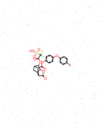 O=C1OC2C3CC(C2OC(=O)C(F)(F)S(=O)(=O)O)C(C(=O)Oc2ccc(Oc4ccc(I)cc4)cc2)C13